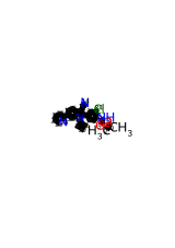 CC(C)OC(=O)Nc1ccc(-c2c(C#N)c3ccc(-c4ccccn4)cc3n2C2CCC2)cc1Cl